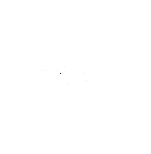 CCCCOP(=O)(OCC)OC(F)(F)C(F)(F)CF